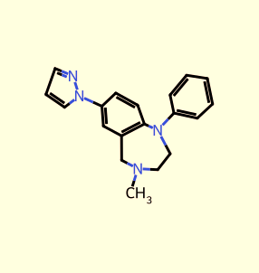 CN1CCN(c2ccccc2)c2ccc(-n3cccn3)cc2C1